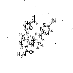 CNc1nnc(-c2cc3c(NC4CCN(c5ncc(C#N)cn5)CC4(C)C)c(C(N)=O)cnn3c2)o1